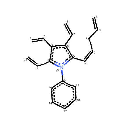 C=CC/C=C\c1c(C=C)c(C=C)c(C=C)n1-c1ccccc1